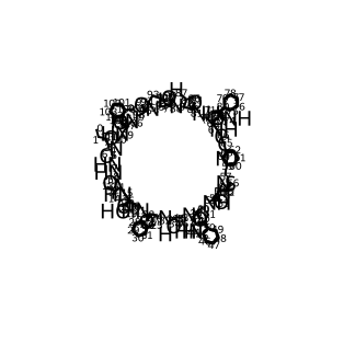 CCCCN1C(=O)NNC(=O)C(C(C)C)NC(=O)[C@@H](CO)NC(=O)[C@@H](Cc2ccccc2)NC(=O)[C@H](C)NC(=O)[C@H](Cc2c[nH]c3ccccc23)NC(=O)[C@@H]2CSC(=N2)c2cccc(n2)CCNC(=O)[C@@H](Cc2c[nH]c3ccccc23)NC(=O)C(C(C)C)NC(=O)[C@@H]2CCCN2C(=O)[C@H](Cc2ccccc2)NC(=O)NC1=O